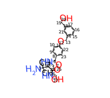 CC(C)(N)[C@H](NC(=O)c1ccc(OCc2cccc(CO)c2)cc1)C(=O)NO